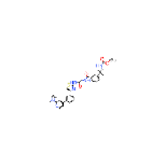 CC(=O)N(C)c1cc(-c2cccc(-c3csc(NC(=O)CNC(=O)c4cccc(C(C)(C)CNC(=O)OC(C)(C)C)c4)n3)c2)ccn1